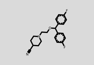 N#CC1CCN(CCOC(c2ccc(F)cc2)c2ccc(F)cc2)CC1